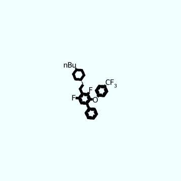 CCCC[C@H]1CC[C@H](CCc2c(F)cc(-c3ccccc3)c(Oc3ccc(C(F)(F)F)cc3)c2F)CC1